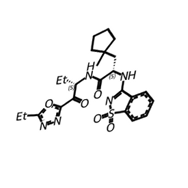 CCc1nnc(C(=O)[C@H](CC)NC(=O)[C@H](CC2(C)CCCC2)NC2=NS(=O)(=O)c3ccccc32)o1